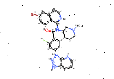 CC(C)(C)N1CCC[C@@H](N(C(=O)c2ccc(-n3nnc4cccnc43)cc2F)c2nccc3cc(Br)ccc23)C1